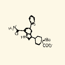 CC(C)(C)[N+]1(C(=O)[O-])CCC(c2c[nH]c3c(C(N)=O)cc(-c4cccs4)cc23)CC1